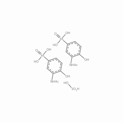 CC(=O)Nc1cc([As](=O)(O)O)ccc1O.CC(=O)Nc1cc([As](=O)(O)O)ccc1O.O=S(=O)(O)O